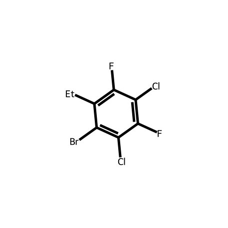 CCc1c(F)c(Cl)c(F)c(Cl)c1Br